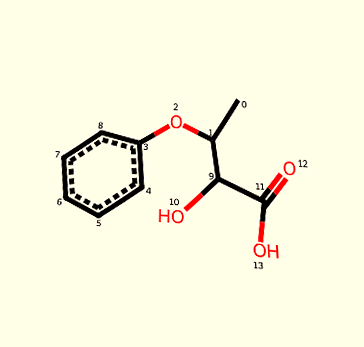 CC(Oc1ccccc1)C(O)C(=O)O